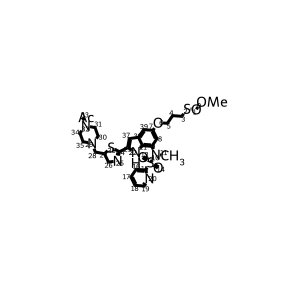 COOSCCCOc1cc(N(C)S(=O)(=O)c2ccccn2)c2[nH]c(C3=NCC(CN4CCN(C(C)=O)CC4)S3)cc2c1